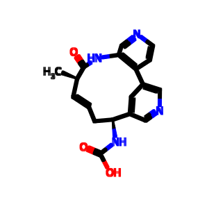 C[C@@H]1/C=C/C[C@H](NC(=O)O)c2cncc(c2)-c2ccncc2NC1=O